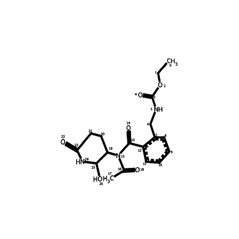 CCOC(=O)NCc1ccccc1C(=O)N(C(C)=O)C1CCC(=O)NC1O